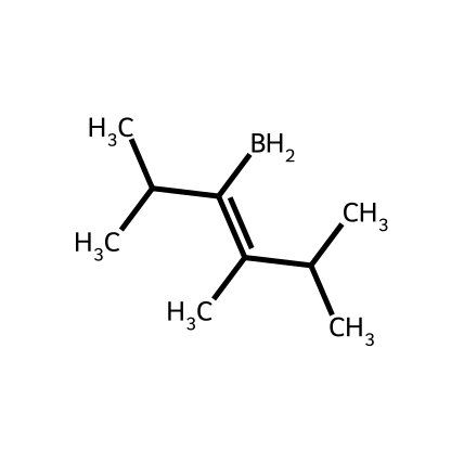 BC(=C(C)C(C)C)C(C)C